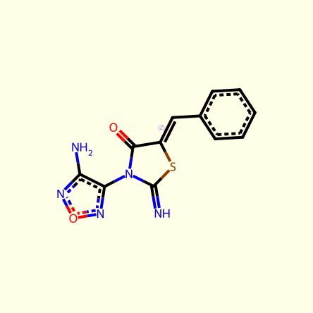 N=C1S/C(=C\c2ccccc2)C(=O)N1c1nonc1N